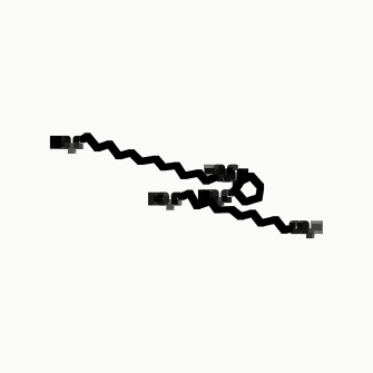 O=C(O)CCCCCCCCCCC(=O)O.O=C(O)CCCCCCCCCCCCC(=O)O.O=C(O)[C@@H]1CCCC[C@H]1C(=O)O